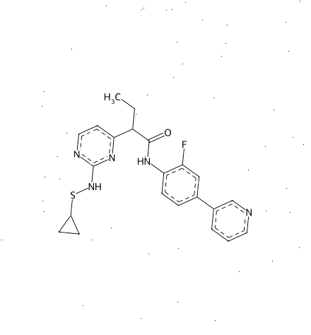 CCC(C(=O)Nc1ccc(-c2cccnc2)cc1F)c1ccnc(NSC2CC2)n1